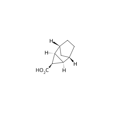 O=C(O)[C@H]1[C@H]2[C@@H]3CC[C@@H](C3)[C@@H]12